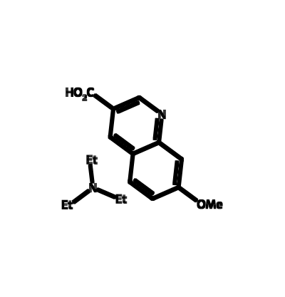 CCN(CC)CC.COc1ccc2cc(C(=O)O)cnc2c1